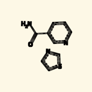 NC(=O)c1cccnc1.c1cscn1